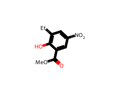 CCc1cc([N+](=O)[O-])cc(C(=O)OC)c1O